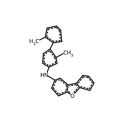 Cc1ccccc1-c1ccc(Nc2ccc3oc4ccccc4c3c2)cc1C